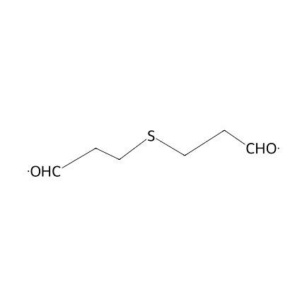 O=[C]CCSCC[C]=O